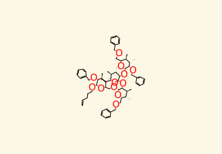 C=CCCCO[C@H]1OC(CO[C@H]2OC(COCc3ccccc3)[C@@H](C)[C@H](C)C2O[C@H]2OC(CC)[C@@H](C)[C@H](C)C2O[C@H]2OC(COCc3ccccc3)[C@@H](C)[C@H](C)C2OCc2ccccc2)[C@@H](C)[C@H](C)C1OCc1ccccc1